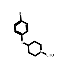 O=CN1CCC(Oc2ccc(Br)cc2)CC1